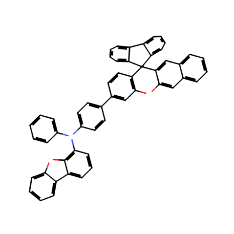 c1ccc(N(c2ccc(-c3ccc4c(c3)Oc3cc5ccccc5cc3C43c4ccccc4-c4ccccc43)cc2)c2cccc3c2oc2ccccc23)cc1